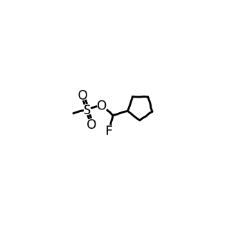 CS(=O)(=O)OC(F)C1CCCC1